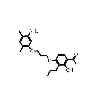 CCCc1c(OCCCOc2cc(N)c(C)cc2C)ccc(C(C)=O)c1O